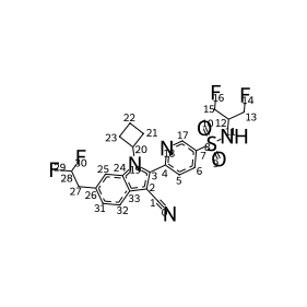 N#Cc1c(-c2ccc(S(=O)(=O)NC(CF)CF)cn2)n(C2CCC2)c2cc(CC(F)F)ccc12